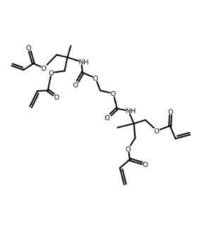 C=CC(=O)OCC(C)(COC(=O)C=C)NC(=O)OCOC(=O)NC(C)(COC(=O)C=C)COC(=O)C=C